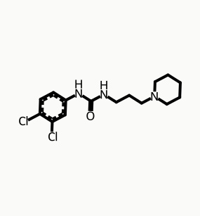 O=C(NCCCN1CCCCC1)Nc1ccc(Cl)c(Cl)c1